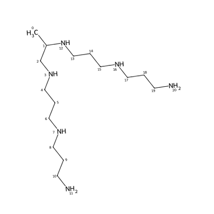 CC(CNCCCNCCCN)NCCCNCCCN